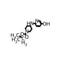 CC(C)(C)OC(=O)N1CCC(Nc2ccc(O)cn2)CC1